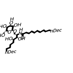 CCCCCCCCCCCCCCCCCCCC(=O)N[C@@H](CO[C@H]1O[C@H](CO)[C@H](O)[C@H](O)[C@H]1O)[C@H](O)[C@H](O)CCCCCCCCCCCCCC